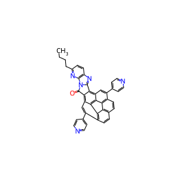 CCCCc1ccc2nc3c4c5cc(-c6ccncc6)c6ccc7ccc8c(-c9ccncc9)cc(c4c(=O)n3c2n1)c1c8c7c6c51